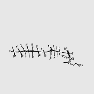 CN(CCO)S(=O)(=O)C(F)(F)C(F)(F)C(F)(F)C(F)(F)C(F)(F)C(F)(F)C(F)(F)C(F)(F)C(F)(F)C(F)(F)C(F)(F)C(F)(F)F